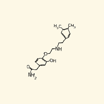 Cc1ccc(CCNCCOc2ccc(CC(N)=O)cc2O)cc1C